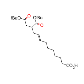 CC(C)COC(=O)CC(C/C=C/CCCCCCC(=O)O)C(=O)OCC(C)C